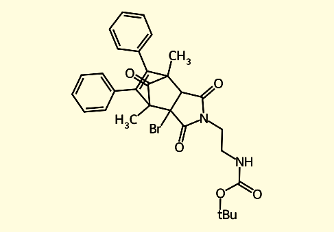 CC(C)(C)OC(=O)NCCN1C(=O)C2C3(C)C(=O)C(C)(C(c4ccccc4)=C3c3ccccc3)C2(Br)C1=O